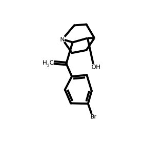 C=C(c1ccc(Br)cc1)C1C(O)C2CCN1CC2